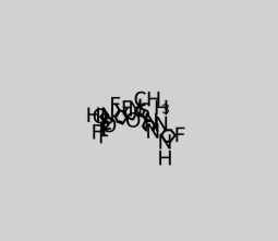 Cc1nc(Oc2ccc(NS(=O)(=O)CC(F)(F)F)c(F)c2F)c(-c2ccnc(N[C@@H]3CNC[C@@H](F)C3)n2)s1